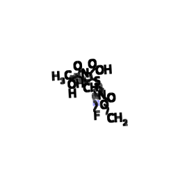 C=CCOC(=O)N1C[C@@H](SC2=C(C(=O)O)N3C(=O)[C@H]([C@@H](C)O)[C@H]3[C@H]2C)C[C@H]1/C=C/CF